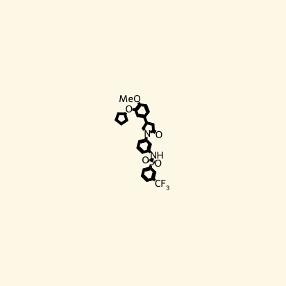 COc1ccc(C2CC(=O)N(c3cccc(NS(=O)(=O)c4cccc(C(F)(F)F)c4)c3)C2)cc1OC1CCCC1